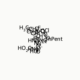 CCCCCOC(=O)COc1cc(N2C(=O)C3=C(CCCC3)C2=O)c(F)cc1Cl.CCNc1nc(Cl)nc(NC(C)C)n1.C[S+](C)C.O=C(O)CNCP(=O)([O-])O